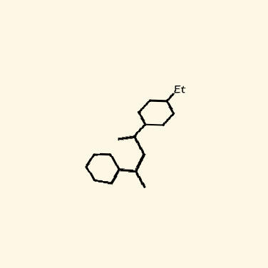 CCC1CCC(C(C)CC(C)C2CCCCC2)CC1